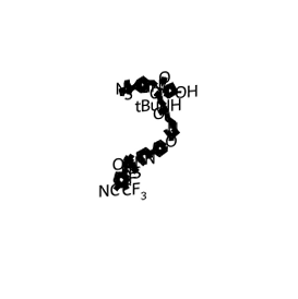 Cc1ncsc1-c1ccc(CNC(=O)[C@@H]2C[C@@H](O)CN2C(=O)[C@@H](NC(=O)CCCN2CC(Oc3ccc(-c4ccc(N5C(=S)N(c6ccc(C#N)c(C(F)(F)F)c6F)C(=O)C5(C)C)cn4)cc3)C2)C(C)(C)C)cc1